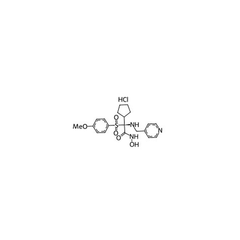 COc1ccc(S(=O)(=O)[C@@](NCc2ccncc2)(C(=O)NO)C2CCCC2)cc1.Cl